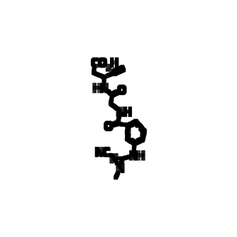 C#C[C@H](CC(=O)O)NC(=O)CNC(=O)c1cccc(NC2N(C)N2C#N)c1